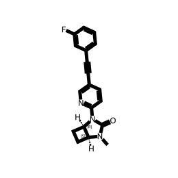 CN1C(=O)N(c2ccc(C#Cc3cccc(F)c3)cn2)[C@@H]2CC[C@@H]21